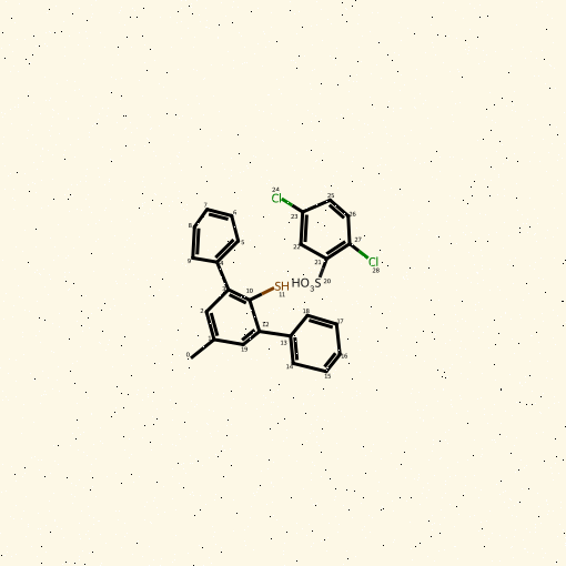 Cc1cc(-c2ccccc2)c(S)c(-c2ccccc2)c1.O=S(=O)(O)c1cc(Cl)ccc1Cl